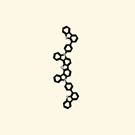 c1ccc2c(c1)sc1c(-c3ccc(-n4c5ccccc5c5c6oc7c(ccc8c7c7ccccc7n8-c7ccc(-c8cccc9c8sc8ccccc89)cc7)c6ccc54)cc3)cccc12